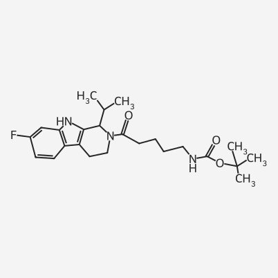 CC(C)C1c2[nH]c3cc(F)ccc3c2CCN1C(=O)CCCCNC(=O)OC(C)(C)C